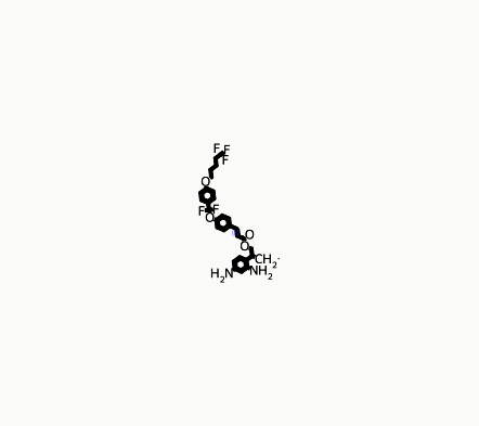 [CH2]C(COC(=O)/C=C/c1ccc(OC(F)(F)c2ccc(OCCCCC(F)(F)F)cc2)cc1)c1ccc(N)cc1N